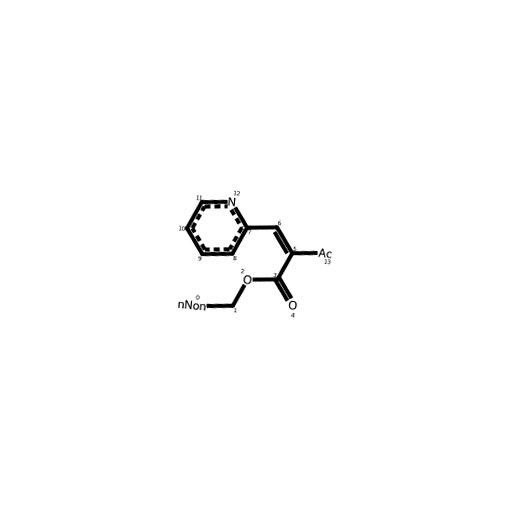 CCCCCCCCCCOC(=O)C(=Cc1ccccn1)C(C)=O